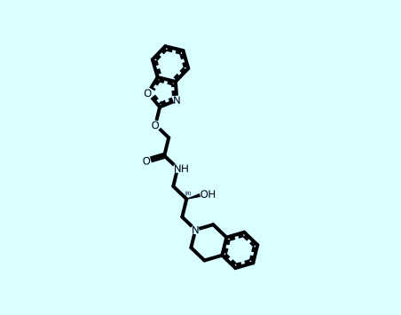 O=C(COc1nc2ccccc2o1)NC[C@@H](O)CN1CCc2ccccc2C1